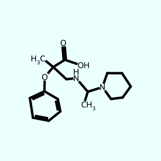 CC(NCC(C)(Oc1ccccc1)C(=O)O)N1CCCCC1